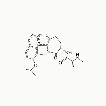 CN[C@@H](C)C(=O)N[C@H]1CCc2ccccc2N(Cc2c(OC(C)C)ccc3ccccc23)C1=O